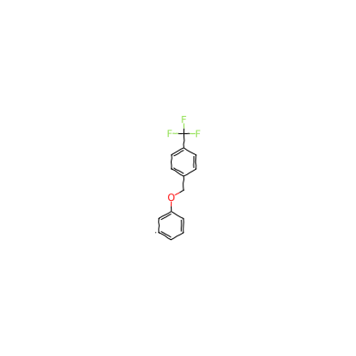 FC(F)(F)c1ccc(COc2c[c]ccc2)cc1